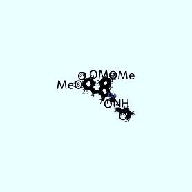 COC1=CC(=CC2=C(C)/C(=C\C(=O)NCc3ccco3)c3cc(OC)ccc32)C=C(OC)C1=O